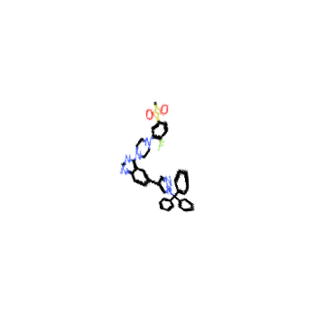 CS(=O)(=O)c1ccc(F)c(N2CCN(c3ncnc4ccc(-c5cnn(C(c6ccccc6)(c6ccccc6)c6ccccc6)c5)cc34)CC2)c1